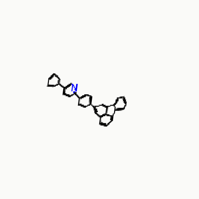 c1ccc(-c2ccc(-c3ccc(-c4cc5c6c(cccc6c4)-c4ccccc4-5)cc3)nc2)cc1